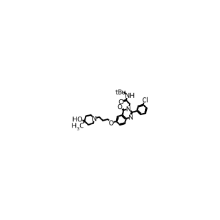 CC1(O)CCN(CCCOc2ccc3nc(-c4cccc(Cl)c4)n(CC(=O)NC(C)(C)C)c(=O)c3c2)CC1